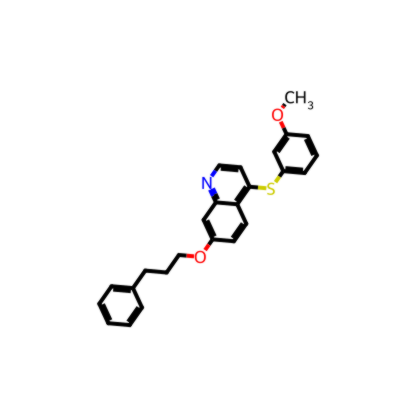 COc1cccc(Sc2ccnc3cc(OCCCc4ccccc4)ccc23)c1